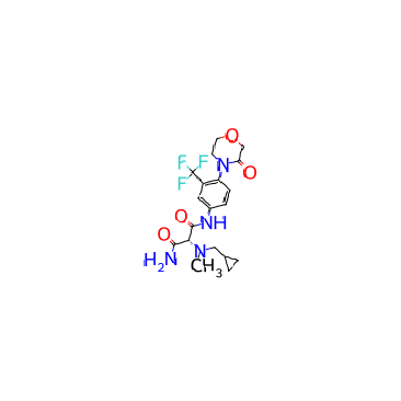 CN(CC1CC1)[C@H](C(N)=O)C(=O)Nc1ccc(N2CCOCC2=O)c(C(F)(F)F)c1